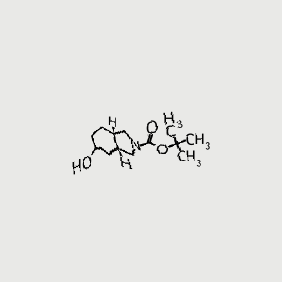 CC(C)(C)OC(=O)N1C[C@H]2CCC(O)C[C@H]2C1